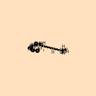 O=C1N[C@H]2[C@H](CS[C@H]2CCCCCNCCCCCCNCc2cn(-c3cccc(NC(=O)N4c5nc(-c6cccc(C(F)(F)F)c6)ccc5N5CC[C@H]4C5)c3)nn2)N1